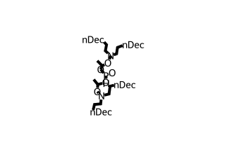 CCCCCCCCCCCCN(CCCCCCCCCCCC)OC(C)O[PH](=O)OC(C)ON(CCCCCCCCCCCC)CCCCCCCCCCCC